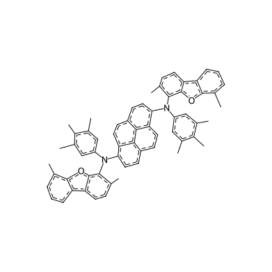 Cc1cc(N(c2ccc3ccc4c(N(c5cc(C)c(C)c(C)c5)c5c(C)ccc6c5oc5c(C)cccc56)ccc5ccc2c3c54)c2c(C)ccc3c2oc2c(C)cccc23)cc(C)c1C